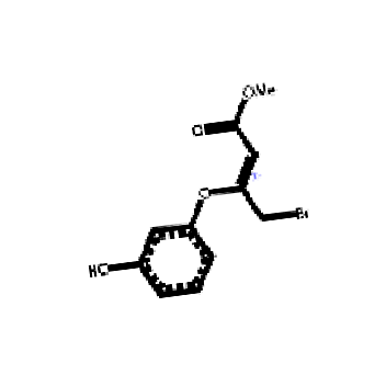 COC(=O)/C=C(/CBr)Oc1cccc(C#N)c1